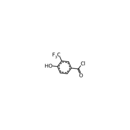 O=C(Cl)c1ccc(O)c(C(F)(F)F)c1